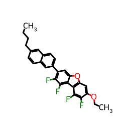 CCCCc1ccc2cc(-c3cc4oc5cc(OCC)c(F)c(F)c5c4c(F)c3F)ccc2c1